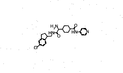 NC(C(=O)NCC1CCc2cc(Cl)ccc21)C1CCC(C(=O)Nc2ccncc2)CC1